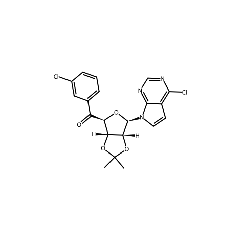 CC1(C)O[C@@H]2[C@H](O1)[C@@H](C(=O)c1cccc(Cl)c1)O[C@H]2n1ccc2c(Cl)ncnc21